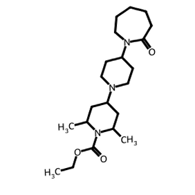 CCOC(=O)N1C(C)CC(N2CCC(N3CCCCCC3=O)CC2)CC1C